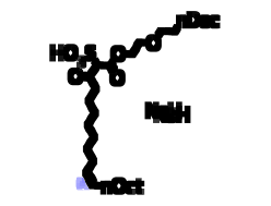 CCCCCCCC/C=C\CCCCCCCC(=O)C(C(=O)OCCOCCCCCCCCCCCC)S(=O)(=O)O.[NaH].[NaH]